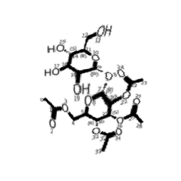 CC(=O)OCC1O[C@H](O[C@H]2O[C@H](CO)[C@@H](O)C(O)C2O)C(OC(C)=O)[C@@H](OC(C)=O)[C@@H]1OC(C)=O